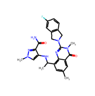 Cc1cc(C(C)Nc2cn(C)nc2C(N)=O)c2nc(N3Cc4ccc(F)cc4C3)n(C)c(=O)c2c1